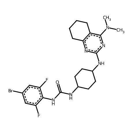 CN(C)c1nc(NC2CCC(NC(=O)Nc3c(F)cc(Br)cc3F)CC2)nc2c1CCCC2